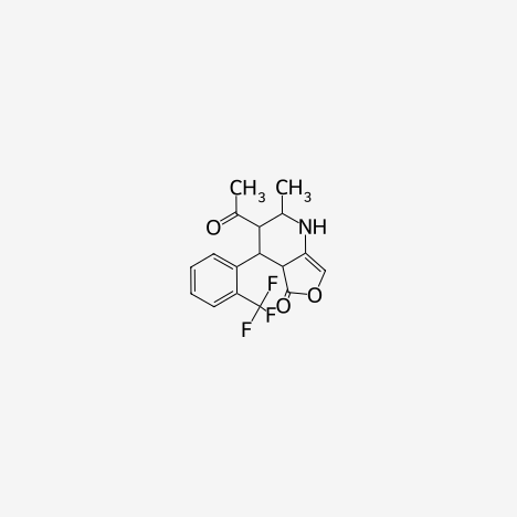 CC(=O)C1C(C)NC2=COC(=O)C2C1c1ccccc1C(F)(F)F